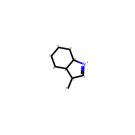 CC1C=NC2CCCCC12